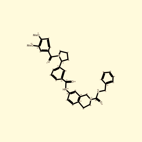 COc1ccc(C(=O)N2CCCC2c2cccc(C(=O)Nc3ccc4c(c3)CN(C(=O)OCc3ccccc3)CC4)c2)cc1OC